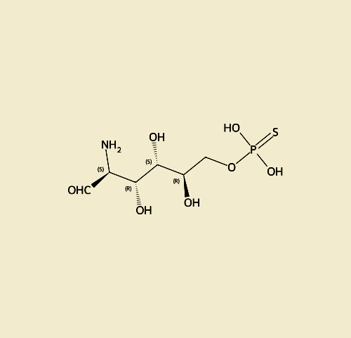 N[C@H](C=O)[C@@H](O)[C@H](O)[C@H](O)COP(O)(O)=S